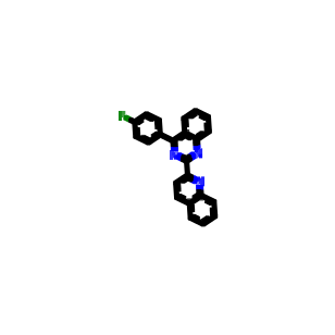 Fc1ccc(-c2nc(-c3ccc4ccccc4n3)nc3ccccc23)cc1